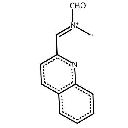 [CH][N+](C=O)=Cc1ccc2ccccc2n1